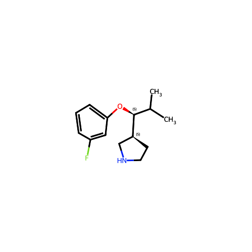 CC(C)[C@H](Oc1cccc(F)c1)[C@H]1CCNC1